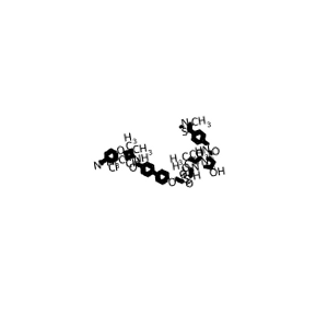 Cc1ncsc1-c1ccc(CNC(=O)[C@@H]2C[C@@H](O)CN2C(=O)[C@@H](NC(=O)CS(=O)(=O)CCOc2ccc(-c3ccc(C(=O)N[C@H]4C(C)(C)[C@H](Oc5ccc(C#N)c(Cl)c5)C4(C)C)cc3)cc2)C(C)(C)C)cc1